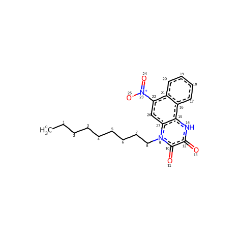 CCCCCCCCCn1c(=O)c(=O)[nH]c2c3ccccc3c([N+](=O)[O-])cc21